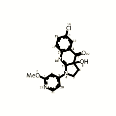 COc1cc(N2CCC3(O)C(=O)c4cc(Cl)ccc4N=C23)ccn1